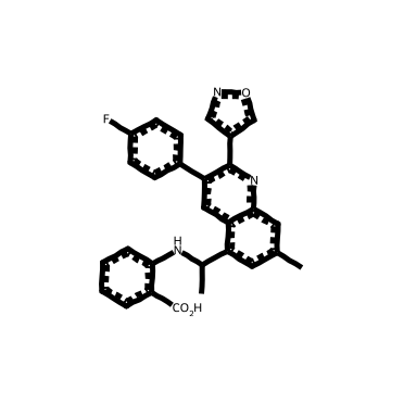 Cc1cc(C(C)Nc2ccccc2C(=O)O)c2cc(-c3ccc(F)cc3)c(-c3cnoc3)nc2c1